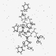 CC1N=C(N2CCN(C(=O)[C@@H](CCCCN(C)C)NC3CCC4(CC3)CCN(Cc3ccccc3)C4)[C@H](P(C)NCc3cccs3)C2)O[C@H]1c1ccccc1